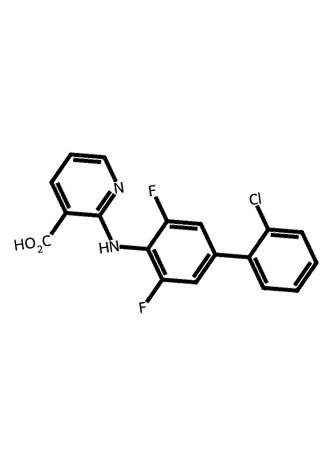 O=C(O)c1cccnc1Nc1c(F)cc(-c2ccccc2Cl)cc1F